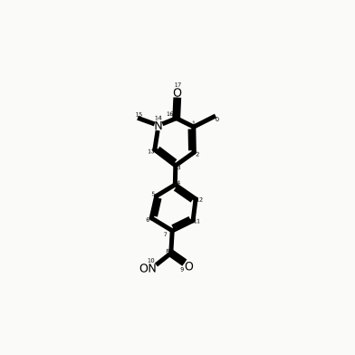 Cc1cc(-c2ccc(C(=O)N=O)cc2)cn(C)c1=O